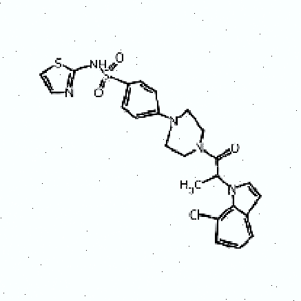 CC(C(=O)N1CCN(c2ccc(S(=O)(=O)Nc3nccs3)cc2)CC1)n1ccc2cccc(Cl)c21